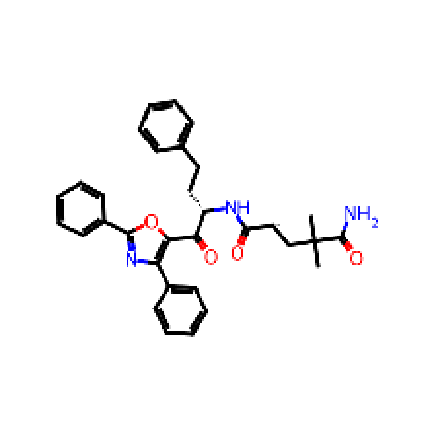 CC(C)(C[CH]C(=O)N[C@@H](CCc1ccccc1)C(=O)c1oc(-c2ccccc2)nc1-c1ccccc1)C(N)=O